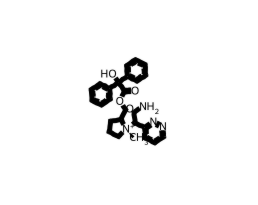 C[N@@+]1(C(C(N)=O)c2cccnn2)CCCC1COC(=O)C(O)(c1ccccc1)c1ccccc1